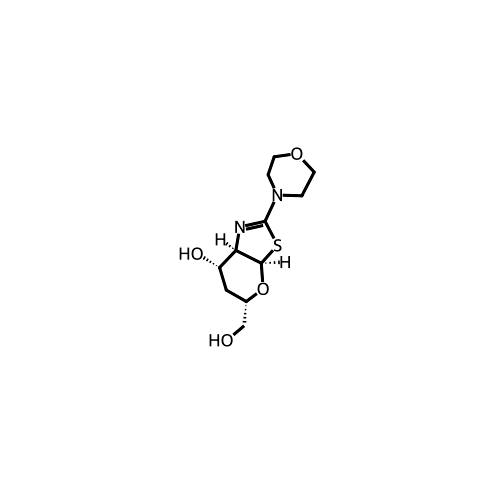 OC[C@@H]1C[C@H](O)[C@H]2N=C(N3CCOCC3)S[C@H]2O1